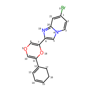 Brc1ccn2cc(C3=COC=C(C4=CC=CCC4)O3)nc2c1